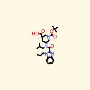 CCCn1c(C(=O)N(CC(C)C)[C@@H]2CN(C(=O)OC(C)(C)C)C[C@](C)(C(=O)O)C2)nc2ccccc21